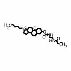 CCCCCC[C@H]1CCC2C3CC=C4CC(OC(=O)NCCNC(=O)CC)CCC4(C)C3CCC21C